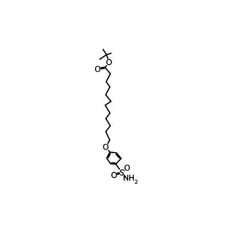 CC(C)(C)OC(=O)CCCCCCCCCCCOc1ccc(S(N)(=O)=O)cc1